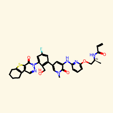 C=CC(=O)N[C@@H](C)COc1cccc(Nc2cc(-c3cc(F)cc(-n4ncc5c6c(sc5c4=O)CCCC6)c3CO)cn(C)c2=O)n1